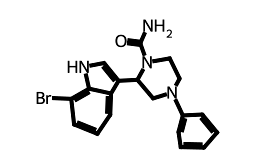 NC(=O)N1CCN(c2ccccc2)CC1c1c[nH]c2c(Br)cccc12